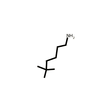 CC(C)(C)[CH]CC[CH]N